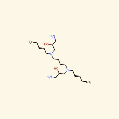 CCC=CCN(CCCCN(CC=CCC)CC(O)CN)CC(O)CN